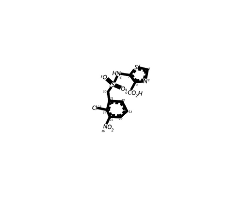 O=C(O)c1ncsc1NS(=O)(=O)Cc1cccc([N+](=O)[O-])c1Cl